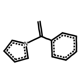 C=C(c1ccccc1)n1cccc1